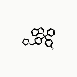 Clc1ccc(C(c2ccccc2)(c2ccc(CN3CCCC3)cc2)n2cnc3ccccc32)cc1